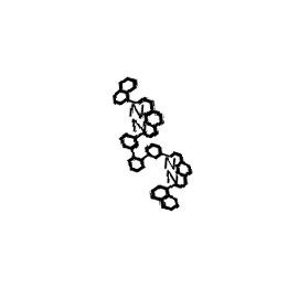 c1cc(-c2ccc3ccc4ccc(-c5cccc6ccccc56)nc4c3n2)cc(-c2ccccc2-c2cccc(-c3ccc4ccc5ccc(-c6cccc7ccccc67)nc5c4n3)c2)c1